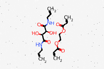 C=CC(=O)OCCOC(=O)C=C.C=CCNC(=O)C(O)C(O)C(=O)NCC=C